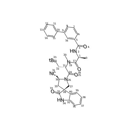 C[C@H](NC(=O)c1cccc(-c2ccccc2)c1)C(=O)N(C)[C@@H](CC(C)(C)C)C(=O)N1C[C@]2(C[C@H]1C#N)C(=O)Nc1ccccc12